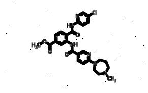 COC(=O)c1ccc(C(=O)Nc2ccc(Cl)cn2)c(NC(=O)c2ccc(N3CCCN(C)CC3)nc2)c1